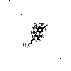 CCCc1nc(F)cc(Nc2c([N+](=O)[O-])cc(C(F)(F)F)c(Cl)c2[N+](=O)[O-])n1